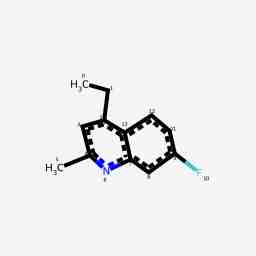 CCc1cc(C)nc2cc(F)ccc12